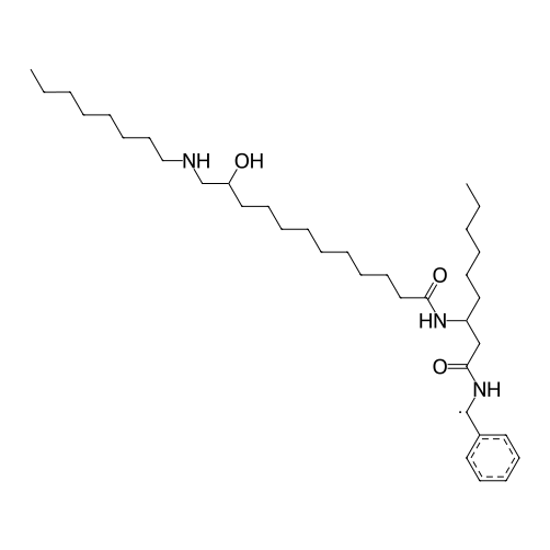 CCCCCCCCNCC(O)CCCCCCCCCC(=O)NC(CCCCCC)CC(=O)N[CH]c1ccccc1